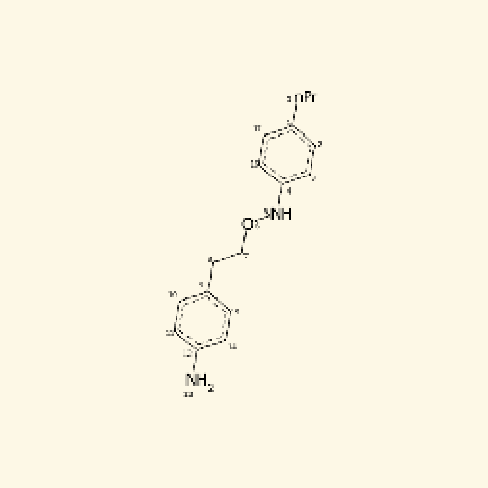 CCCc1ccc(NOCCc2ccc(N)cc2)cc1